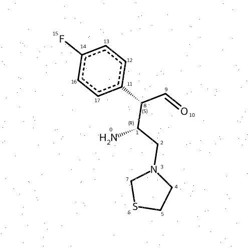 N[C@@H](CN1CCSC1)[C@@H](C=O)c1ccc(F)cc1